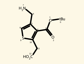 CC(C)(C)OC(=O)c1c(CN)csc1CC(=O)O